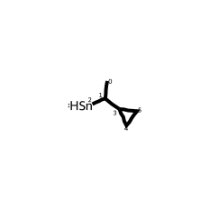 C[CH]([SnH])C1CC1